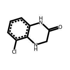 O=C1CNc2c(Cl)cccc2N1